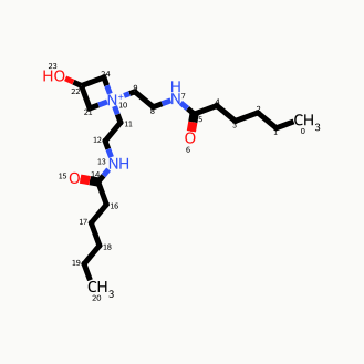 CCCCCC(=O)NCC[N+]1(CCNC(=O)CCCCC)CC(O)C1